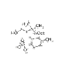 CCCCCCCC[N+](C)(C)CCO.Cc1ccc(S(=O)(=O)[O-])cc1